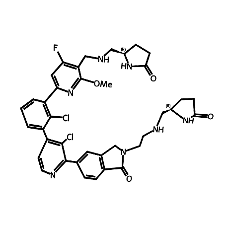 COc1nc(-c2cccc(-c3ccnc(-c4ccc5c(c4)CN(CCNC[C@H]4CCC(=O)N4)C5=O)c3Cl)c2Cl)cc(F)c1CNC[C@H]1CCC(=O)N1